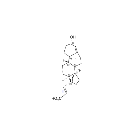 C[C@]12CC[C@H]3[C@@H](CCC4=C[C@@H](O)CC[C@@]43C)[C@@H]1CC[C@@H]2/C=C/C(=O)O